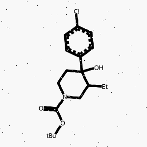 CCC1CN(C(=O)OC(C)(C)C)CCC1(O)c1ccc(Cl)cc1